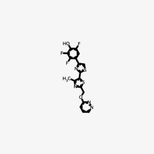 Cc1nc(COc2cccnn2)sc1-c1nc(-c2cc(F)c(O)c(F)c2F)cs1